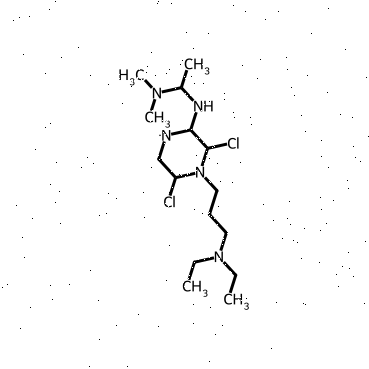 CCN(CC)CCCN1C(Cl)C[N]C(NC(C)N(C)C)C1Cl